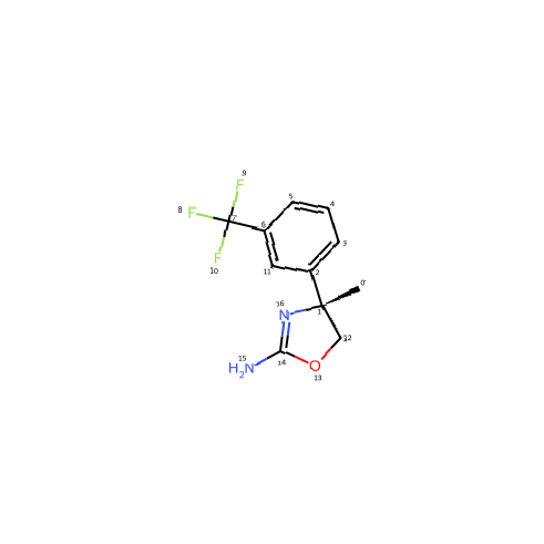 C[C@@]1(c2cccc(C(F)(F)F)c2)COC(N)=N1